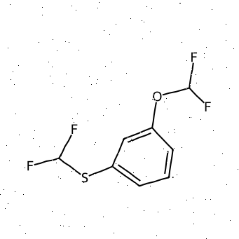 FC(F)Oc1c[c]cc(SC(F)F)c1